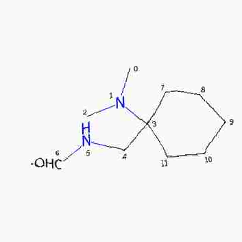 CN(C)C1(CN[C]=O)CCCCC1